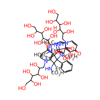 CCC(NC(=O)O)(c1c(O)c(=O)ccn1CC(O)C(O)C(O)C(O)CO)N(C(=O)O)C(c1ccccc1)(C(CC)(NC(=O)O)c1c(O)c(=O)ccn1CC(O)C(O)C(O)C(O)CO)C(CC)(NC(=O)O)c1c(O)c(=O)ccn1CC(O)C(O)C(O)C(O)CO